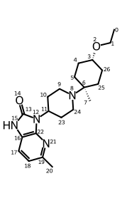 CCO[C@H]1CC[C@](C)(N2CCC(n3c(=O)[nH]c4ccc(C)nc43)CC2)CC1